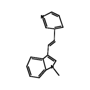 Cn1cc(/C=C/c2cccnc2)c2ccccc21